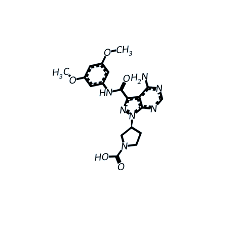 COc1cc(NC(=O)c2nn([C@H]3CCN(C(=O)O)C3)c3ncnc(N)c23)cc(OC)c1